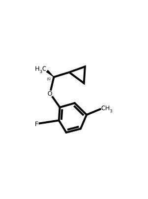 Cc1ccc(F)c(O[C@@H](C)C2CC2)c1